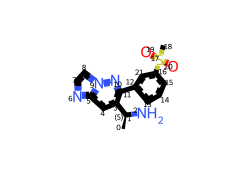 C[C@H](N)c1cc2nccn2nc1-c1cccc(S(C)(=O)=O)c1